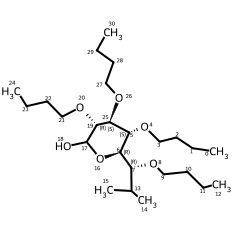 CCCCO[C@@H]1[C@@H]([C@H](OCCCC)C(C)C)OC(O)[C@H](OCCCC)[C@H]1OCCCC